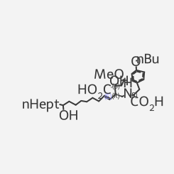 CCCCCCCC(O)CCCCCC/C=C/[C@H](CN[C@@H](Cc1ccc(OCCCC)cc1)C(=O)O)[C@@](O)(CCOC)C(=O)O